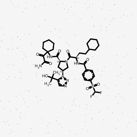 CC(C)(O)c1cnnn1[C@H]1C[C@@H](C(=O)NC2(C(=O)C(N)=O)CCCCC2)N(C(=O)[C@@H](CCC2CCCCC2)NC(=O)c2ccc(S(=O)(=O)C(F)F)cc2)C1